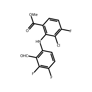 COC(=O)c1ccc(F)c(Cl)c1Nc1ccc(F)c(F)c1C=O